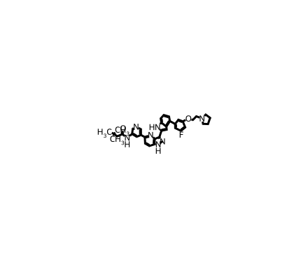 CC(C)(C)CC(=O)Nc1cncc(-c2ccc3[nH]nc(-c4cc5c(-c6cc(F)cc(OCCN7CCCC7)c6)cccc5[nH]4)c3n2)c1